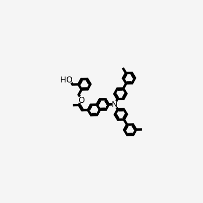 CC(=Cc1ccc2cc(N(c3ccc(-c4cccc(C)c4)cc3)c3ccc(-c4cccc(C)c4)cc3)ccc2c1)OCc1ccccc1CO